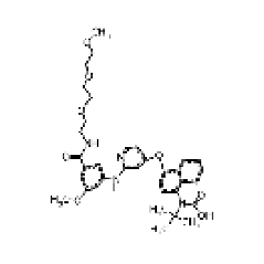 COCCOCCOCCNC(=O)c1cc(Nc2cc(Oc3ccc(N(C(=O)O)C(C)(C)C)c4ccccc34)ccn2)cc(OC)c1